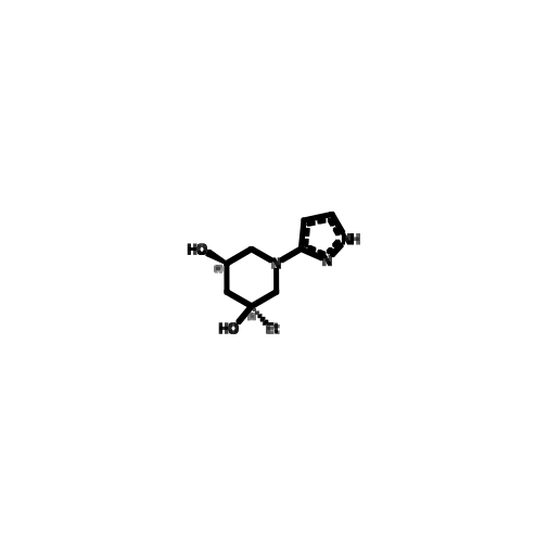 CC[C@]1(O)C[C@@H](O)CN(c2cc[nH]n2)C1